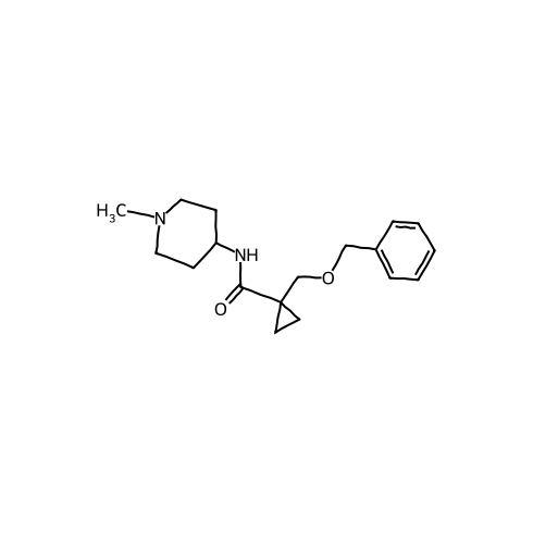 CN1CCC(NC(=O)C2(COCc3ccccc3)CC2)CC1